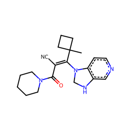 CC1(C(=C(C#N)C(=O)N2CCCCC2)N2CNc3cnccc32)CCC1